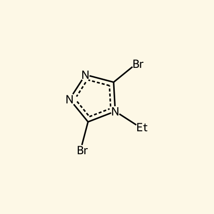 CCn1c(Br)nnc1Br